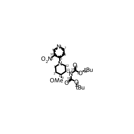 CO[C@H]1CCN(c2ccncc2[N+](=O)[O-])C[C@@H]1N(C(=O)OC(C)(C)C)C(=O)OC(C)(C)C